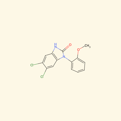 COc1ccccc1-n1c(=O)[nH]c2cc(Cl)c(Cl)cc21